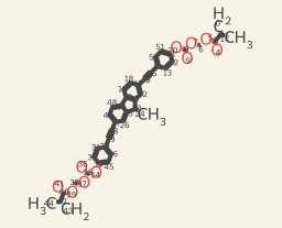 C=C(C)C(=O)OCOC(=O)Oc1ccc(C#Cc2ccc3c(c2)C(C)c2cc(C#Cc4ccc(OC(=O)OCOC(=O)C(=C)C)cc4)ccc2-3)cc1